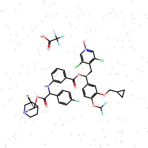 O=C(O)C(F)(F)F.O=C(O[C@@H](Cc1c(Cl)c[n+]([O-])cc1Cl)c1ccc(OC(F)F)c(OCC2CC2)c1)c1cccc(NC(C(=O)O[C@H]2CN3CCC2CC3)c2ccc(F)cc2)c1